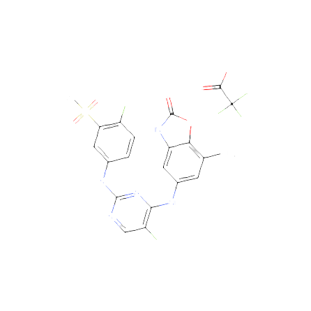 Cc1cc(Nc2nc(Nc3ccc(F)c(S(C)(=O)=O)c3)ncc2F)cc2[nH]c(=O)oc12.O=C(O)C(F)(F)F